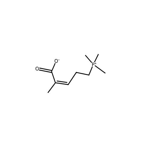 CC(=CCC[P+](C)(C)C)C(=O)[O-]